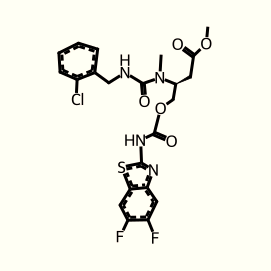 COC(=O)C[C@@H](COC(=O)Nc1nc2cc(F)c(F)cc2s1)N(C)C(=O)NCc1ccccc1Cl